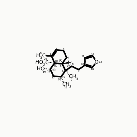 CC1=CCC[C@@H]2[C@@](C)(CCc3ccoc3)[C@H](C)C[C@H](O)[C@@]12C(=O)O